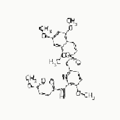 COC(=O)/C=C\C(=O)Nc1nc(CS(=O)(=O)/C=C\c2c(OC)cc(OC)cc2OC)ccc1OC